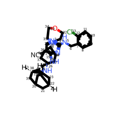 N#Cc1cnc(NCc2ccccc2Cl)nc1NC[C@]12CC3C[C@H](C1)[C@@H](N[C@H]1CC[C@@H](N4CCOCC4)CC1)[C@@H](C3)C2